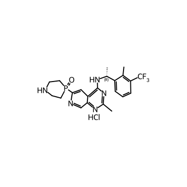 Cc1nc(N[C@H](C)c2cccc(C(F)(F)F)c2C)c2cc(P3(=O)CCNCC3)ncc2n1.Cl